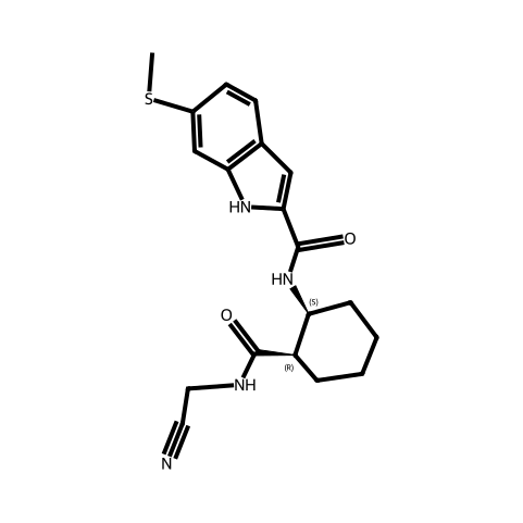 CSc1ccc2cc(C(=O)N[C@H]3CCCC[C@H]3C(=O)NCC#N)[nH]c2c1